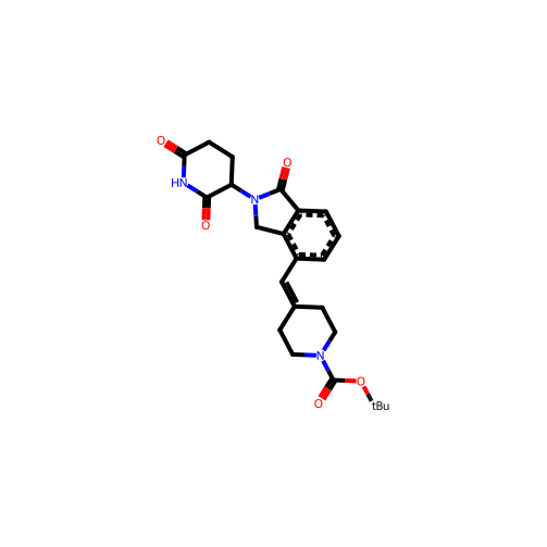 CC(C)(C)OC(=O)N1CCC(=Cc2cccc3c2CN(C2CCC(=O)NC2=O)C3=O)CC1